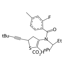 CCCC(CC)N(C(=O)c1ccc(C)cc1F)C1=C(C(=O)O)SC(C#CC(C)(C)C)C1